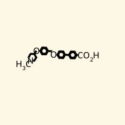 CN1CCC(Oc2ccc(COc3ccc(-c4ccc(C(=O)O)cc4)cc3)cc2)CC1